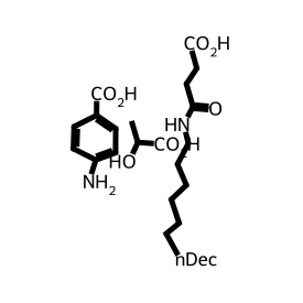 CC(O)C(=O)O.CCCCCCCCCCCCCCCCNC(=O)CCC(=O)O.Nc1ccc(C(=O)O)cc1